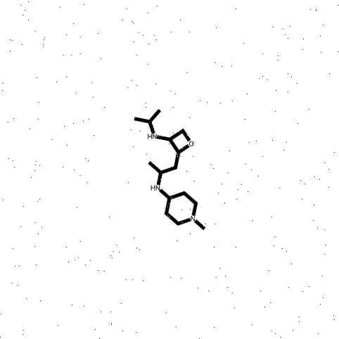 CC(C)NC1COC1CC(C)NC1CCN(C)CC1